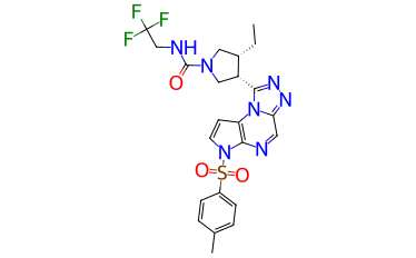 CC[C@H]1CN(C(=O)NCC(F)(F)F)C[C@H]1c1nnc2cnc3c(ccn3S(=O)(=O)c3ccc(C)cc3)n12